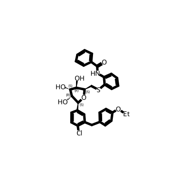 CCOc1ccc(Cc2cc([C@@H]3O[C@H](CSc4ccccc4NC(=O)c4ccccc4)[C@H](O)[C@@H](O)[C@H]3O)ccc2Cl)cc1